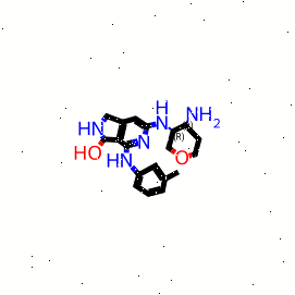 Cc1cccc(Nc2nc(N[C@H]3COCC[C@H]3N)cc3c2C(O)NC3)c1